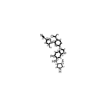 CC(=O)c1ccc(-n2cnc3cc(N[C@H]4CNC[C@H]4F)c(F)cc32)nc1-n1nc(C#N)cc1C